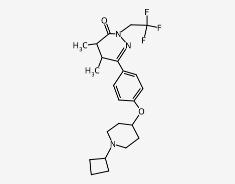 CC1C(=O)N(CC(F)(F)F)N=C(c2ccc(OC3CCN(C4CCC4)CC3)cc2)C1C